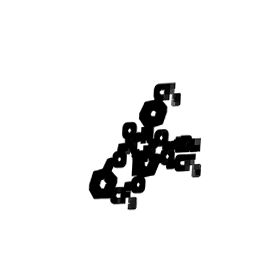 CC(C)(C)COCN(C(=O)N(COCc1ccccc1)c1nc(OCC(F)(F)F)cc(OCC(F)(F)F)n1)c1ccc(C(F)(F)F)cc1